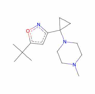 CN1CCN(C2(c3cc(C(C)(C)C)on3)CC2)CC1